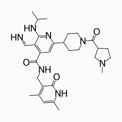 Cc1cc(C)c(CNC(=O)c2cc(C3CCN(C(=O)C4CCN(C)C4)CC3)nc(NC(C)C)c2C=N)c(=O)[nH]1